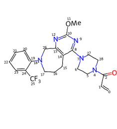 C=CC(=O)N1CCN(c2nc(OC)nc3c2CCCN(c2ccccc2C(F)(F)F)C3)CC1